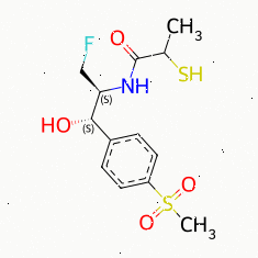 CC(S)C(=O)N[C@H](CF)[C@@H](O)c1ccc(S(C)(=O)=O)cc1